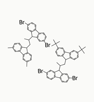 CC(CC1c2ccc(C(C)(C)C)cc2-c2cc(C(C)(C)C)ccc21)C1c2cc(Br)ccc2-c2ccc(Br)cc21.Cc1ccc2c(c1)-c1cc(C)ccc1C2CC(C)C1c2cc(Br)ccc2-c2ccc(Br)cc21